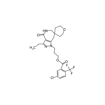 CCc1nn(CCCOC(=O)c2cc(Cl)ccc2C(F)(F)F)c2c1C(=O)NCC1(CCOCC1)C2